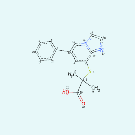 CC(C)(Sc1cc(-c2ccccc2)cn2ccnc12)C(=O)O